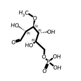 CO[C@@H]([C@H](O)[C@H](O)COP(=O)(O)O)[C@@H](O)C=O